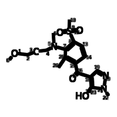 COCCCN(C)c1c(S(C)(=O)=O)ccc(C(=O)c2cnn(C)c2O)c1C